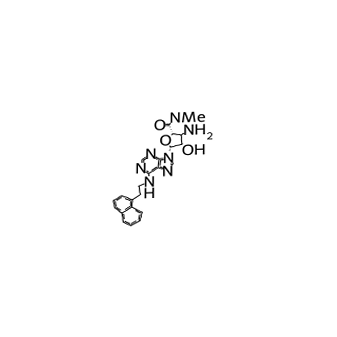 CNC(=O)[C@H]1O[C@@H](n2cnc3c(NCCc4cccc5ccccc45)ncnc32)[C@H](O)[C@@H]1N